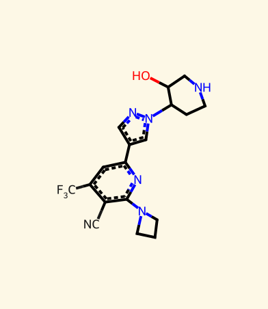 N#Cc1c(C(F)(F)F)cc(-c2cnn(C3CCNCC3O)c2)nc1N1CCC1